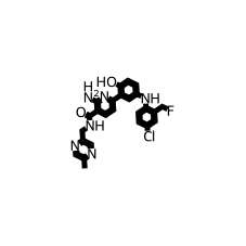 Cc1cnc(CNC(=O)c2ccc(-c3cc(Nc4ccc(Cl)cc4CF)ccc3O)nc2N)cn1